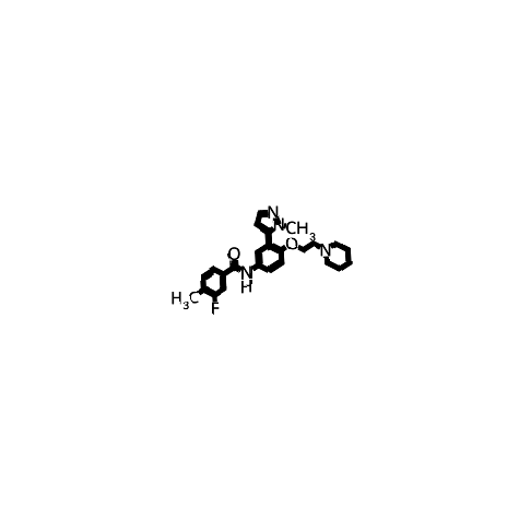 Cc1ccc(C(=O)Nc2ccc(OCCN3CCCCC3)c(-c3ccnn3C)c2)cc1F